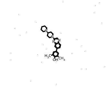 Cc1cc(-c2ccc3ncc(N4CCC(N5CCCCC5)CC4)nc3c2)cc(C)c1O